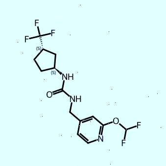 O=C(NCc1ccnc(OC(F)F)c1)N[C@H]1CC[C@H](C(F)(F)F)C1